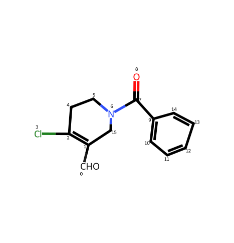 O=CC1=C(Cl)CCN(C(=O)c2ccccc2)C1